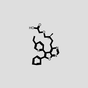 CCc1ccc(-c2c(-c3ccccc3)oc3ncnc(CC[C@H](C)COCC(=O)O)c23)nc1